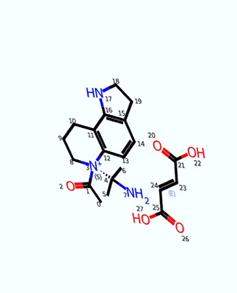 CC(=O)[N@@+]1(C(C)(C)N)CCCc2c1ccc1c2NCC1.O=C(O)/C=C/C(=O)O